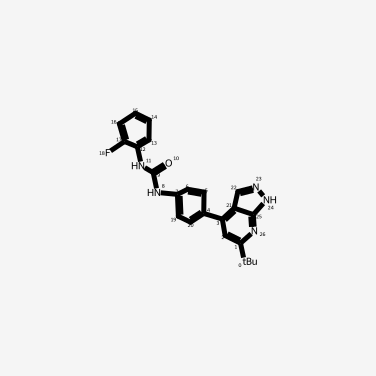 CC(C)(C)c1cc(-c2ccc(NC(=O)Nc3ccccc3F)cc2)c2cn[nH]c2n1